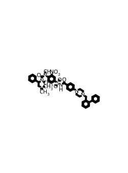 CN(C)CC(c1ccccc1)N(C)C(=O)N(C)c1ccc(S(=O)(=O)NC(=O)c2ccc(N3CCN(Cc4ccccc4-c4ccccc4)CC3)cc2)cc1[N+](=O)[O-]